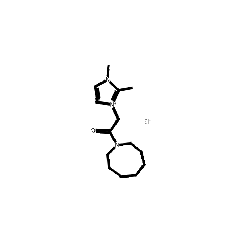 Cc1n(C)cc[n+]1CC(=O)N1CCCCCCC1.[Cl-]